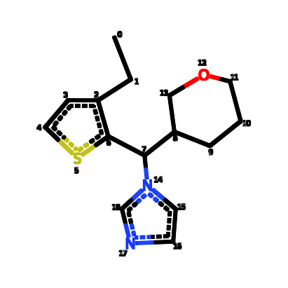 CCc1ccsc1C(C1CCCOC1)n1ccnc1